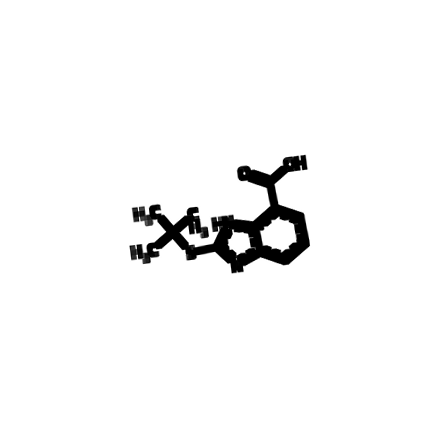 CC(C)(C)Sc1nc2cccc(C(=O)O)c2[nH]1